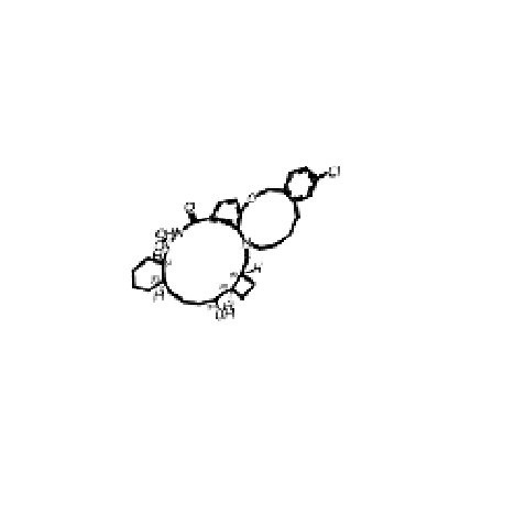 O=C1NS(=O)(=O)[C@H]2CCCC[C@@H]2CCC[C@H](O)[C@@H]2CC[C@H]2CN2CCCCc3cc(Cl)ccc3COc3ccc1cc32